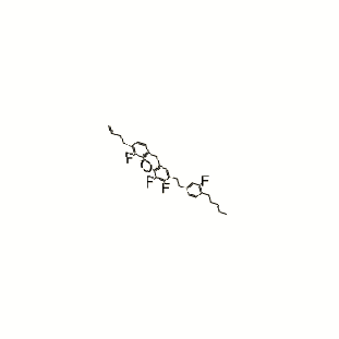 C=CCCc1ccc2c(c1F)Oc1c(cc(CCc3ccc(CC/C=C/C)c(F)c3)c(F)c1F)C2